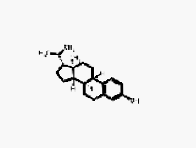 CC(C)[C@H]1CC[C@H]2[C@@H]3CCc4cc(O)ccc4[C@H]3CC[C@]12C